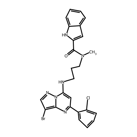 CN(CCCNc1cc(-c2ccccc2Cl)nc2c(Br)cnn12)C(=O)c1cc2ccccc2[nH]1